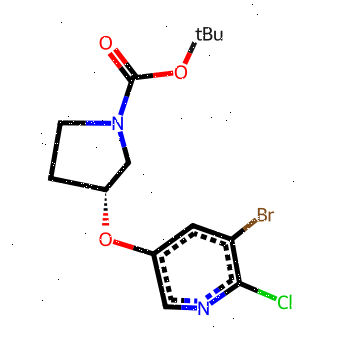 CC(C)(C)OC(=O)N1CC[C@@H](Oc2cnc(Cl)c(Br)c2)C1